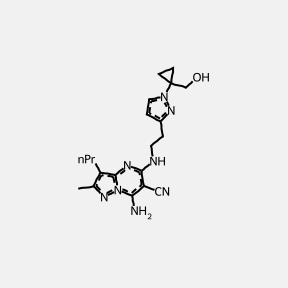 CCCc1c(C)nn2c(N)c(C#N)c(NCCc3ccn(C4(CO)CC4)n3)nc12